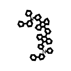 c1ccc(-c2cccc(N(c3ccccc3)c3cccc(-c4c5ccccc5c(-c5cccc(-c6c7ccccc7c(-c7cccc(N(c8ccccc8)c8cccc(-c9ccccc9)c8)c7)c7ccccc67)c5)c5ccccc45)c3)c2)cc1